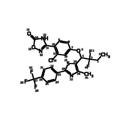 CCC(F)(F)C(Oc1ccc(-c2noc(=O)[nH]2)c(Cl)c1)c1sc(-c2ccc(C(F)(F)F)cc2)nc1C